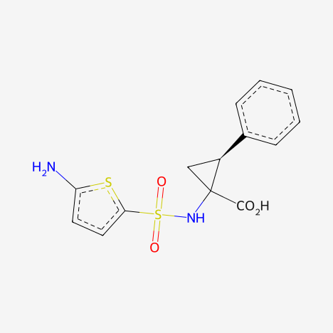 Nc1ccc(S(=O)(=O)NC2(C(=O)O)C[C@H]2c2ccccc2)s1